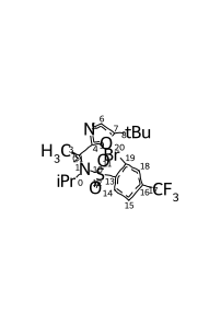 CC(C)N([C@@H](C)c1ncc(C(C)(C)C)o1)S(=O)(=O)c1ccc(C(F)(F)F)cc1Br